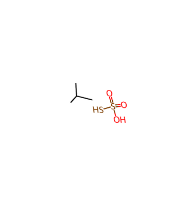 CC(C)C.O=S(=O)(O)S